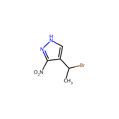 CC(Br)c1c[nH]nc1[N+](=O)[O-]